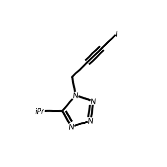 CC(C)c1nnnn1CC#CI